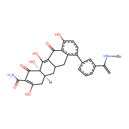 C=C(NCCCC)c1cccc(-c2ccc(O)c3c2CC2C[C@H]4CC(O)=C(C(N)=O)C(=O)[C@@]4(O)C(O)=C2C3=O)c1